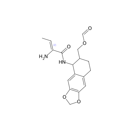 C/C=C(\N)C(=O)NC1c2cc3c(cc2CCC1COC=O)OCO3